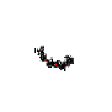 O=C1CCC(N2C(=O)c3cccc(NCCCCC(=O)N4CCN(C(=O)Cn5cc(-c6ccc(-c7cncc8ccccc78)cc6)cn5)CC4)c3C2=O)C(=O)N1